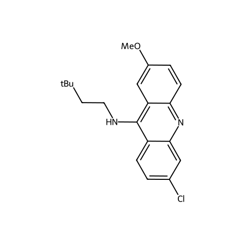 COc1ccc2nc3cc(Cl)ccc3c(NCCC(C)(C)C)c2c1